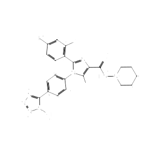 Cc1c(C(=O)NN2CCCCC2)nc(-c2ccc(Cl)cc2Cl)n1-c1ccc(-c2nnnn2C)cc1